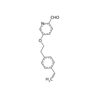 C=Cc1ccc(CCOc2ccc(C=O)nc2)cc1